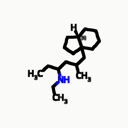 CCNC(CC)CC(C)CC12CCCC[C@H]1CCC2